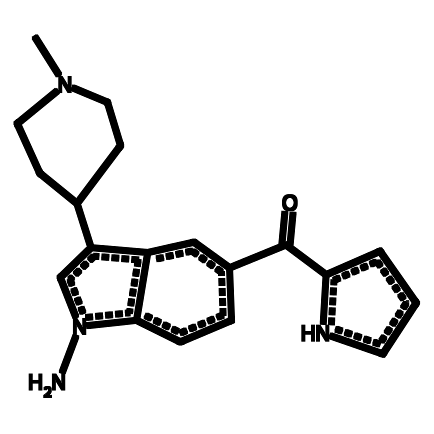 CN1CCC(c2cn(N)c3ccc(C(=O)c4ccc[nH]4)cc23)CC1